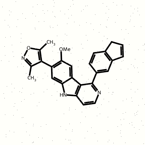 COc1cc2c(cc1-c1c(C)noc1C)[nH]c1ccnc(-c3ccc4c(c3)C=CC4)c12